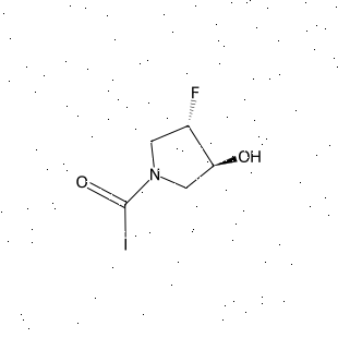 O=C(I)N1C[C@H](O)[C@@H](F)C1